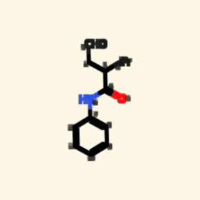 CC(C)C(CC=O)C(=O)Nc1ccccc1